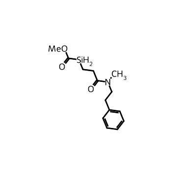 COC(=O)[SiH2]CCC(=O)N(C)CCc1ccccc1